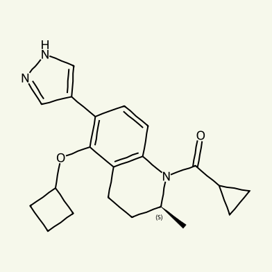 C[C@H]1CCc2c(ccc(-c3cn[nH]c3)c2OC2CCC2)N1C(=O)C1CC1